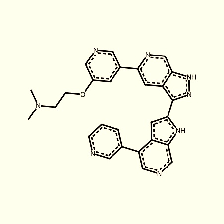 CN(C)CCOc1cncc(-c2cc3c(-c4cc5c(-c6cccnc6)cncc5[nH]4)n[nH]c3cn2)c1